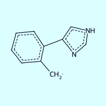 [CH2]c1ccccc1-c1c[nH]cn1